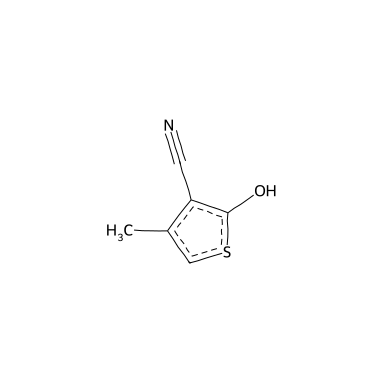 Cc1csc(O)c1C#N